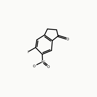 O=C1CCc2cc(I)c([N+](=O)[O-])cc21